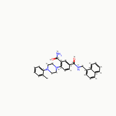 Cc1ccccc1N1CCN(c2ccc(C(=O)NCc3cccc4ccccc34)cc2C(N)=O)CC1